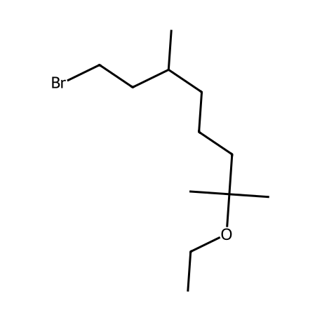 CCOC(C)(C)CCCC(C)CCBr